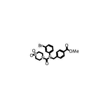 COC(=O)c1ccc(CN(C(=O)N2CCS(=O)(=O)CC2)c2cccc(Br)c2)cc1